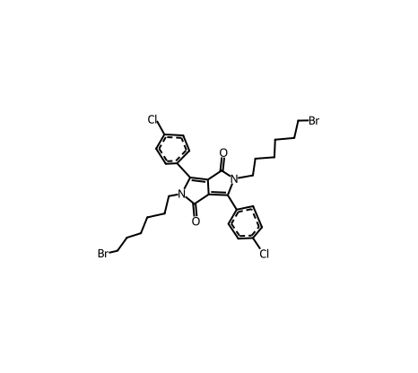 O=C1C2=C(c3ccc(Cl)cc3)N(CCCCCCBr)C(=O)C2=C(c2ccc(Cl)cc2)N1CCCCCCBr